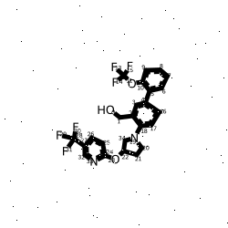 OCc1cc(-c2ccccc2OC(F)(F)F)ccc1N1CCC(Oc2ccc(C(F)(F)F)cn2)C1